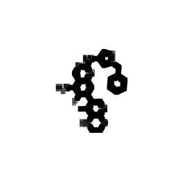 Cc1c(-c2cc3nc(Nc4cnn(Cc5ccccc5)c4)ncc3c(N)c2F)cnc2c1NCCO2